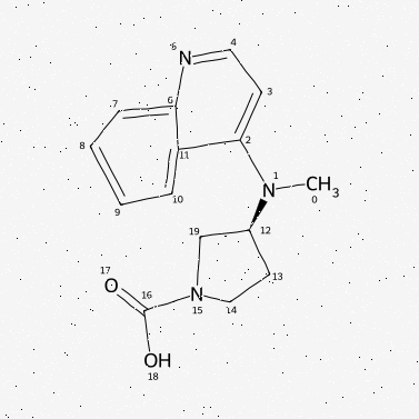 CN(c1ccnc2ccccc12)[C@H]1CCN(C(=O)O)C1